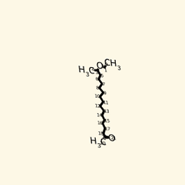 CCOC(C)CCCCCCCCCCCCCCC(C)=O